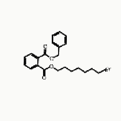 CC(C)CCCCCCCOC(=O)c1ccccc1C(=O)OCc1ccccc1